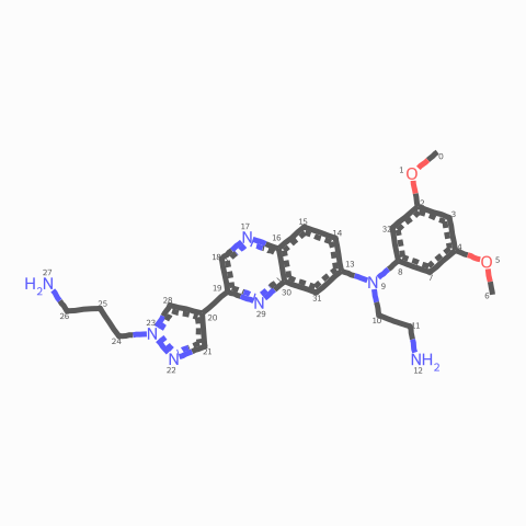 COc1cc(OC)cc(N(CCN)c2ccc3ncc(-c4cnn(CCCN)c4)nc3c2)c1